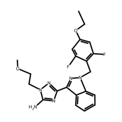 CCOc1cc(F)c(Cn2nc(-c3nc(N)n(CCOC)n3)c3ccccc32)c(F)c1